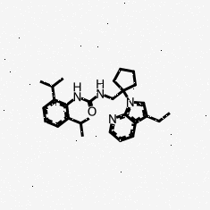 CCc1cn(C2(CNC(=O)Nc3c(C(C)C)cccc3C(C)C)CCCC2)c2ncccc12